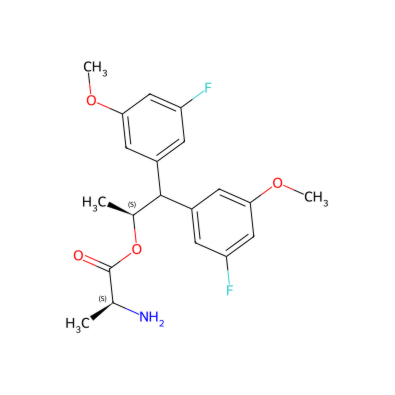 COc1cc(F)cc(C(c2cc(F)cc(OC)c2)[C@H](C)OC(=O)[C@H](C)N)c1